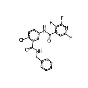 O=C(NCc1ccccc1)c1cc(NC(=O)c2cc(F)nc(F)c2F)ccc1Cl